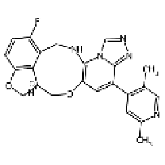 Cc1cc(-c2cc3c(n4cnnc24)NCc2c(F)ccc4c2[C@@H](CO4)CO3)c(C)cn1